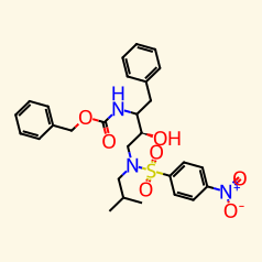 CC(C)CN(C[C@H](O)C(Cc1ccccc1)NC(=O)OCc1ccccc1)S(=O)(=O)c1ccc([N+](=O)[O-])cc1